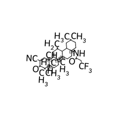 C=C1C=C2[C@@]3(C)C=C(C#N)C(=O)C(C)(C)[C@@H]3CC[C@@]2(C)[C@]2(C)CC[C@@]3(NC(=O)CC(F)(F)F)CCC(C)(C)CC3C12